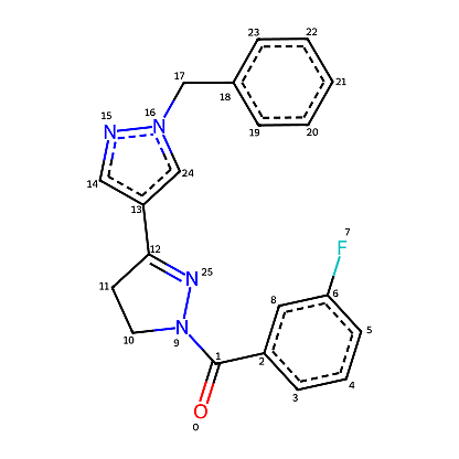 O=C(c1cccc(F)c1)N1CCC(c2cnn(Cc3ccccc3)c2)=N1